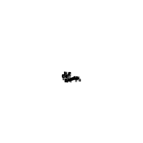 C.C.[SiH3]Br